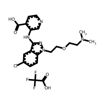 CN(C)CCOCCn1nc(Nc2cnccc2C(=O)O)c2cc(Cl)ccc21.O=C(O)C(F)(F)F